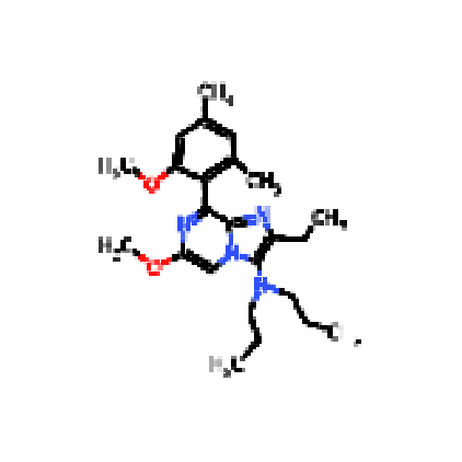 CCCN(CCC)c1c(CC)nc2c(-c3c(C)cc(C)cc3OC)nc(OC)cn12